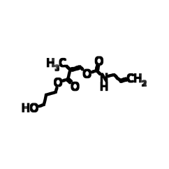 C=CCNC(=O)OC=C(C)C(=O)OCCCO